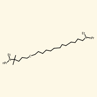 CCCN(CC)CCCCCCCCCCCCCCCCCC(C)(C)N(CC)CCC